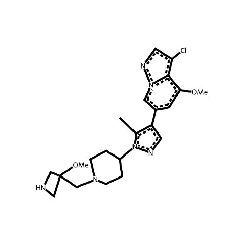 COc1cc(-c2cnn(C3CCN(CC4(OC)CNC4)CC3)c2C)cn2ncc(Cl)c12